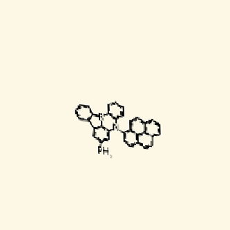 Pc1cc2c3c(c1)N(c1ccc4ccc5cccc6ccc1c4c56)c1ccccc1B3c1ccccc1-2